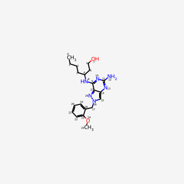 CCCCC(CCO)Nc1nc(N)nc2cn(Cc3ccccc3OC)nc12